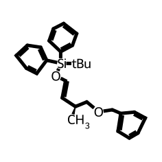 C[C@@H](C=CO[Si](c1ccccc1)(c1ccccc1)C(C)(C)C)COCc1ccccc1